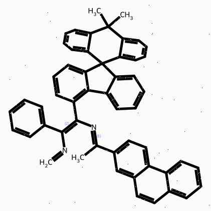 C=N/C(=C(\N=C(/C)c1ccc2c(ccc3ccccc32)c1)c1cccc2c1-c1ccccc1C21c2ccccc2C(C)(C)c2ccccc21)c1ccccc1